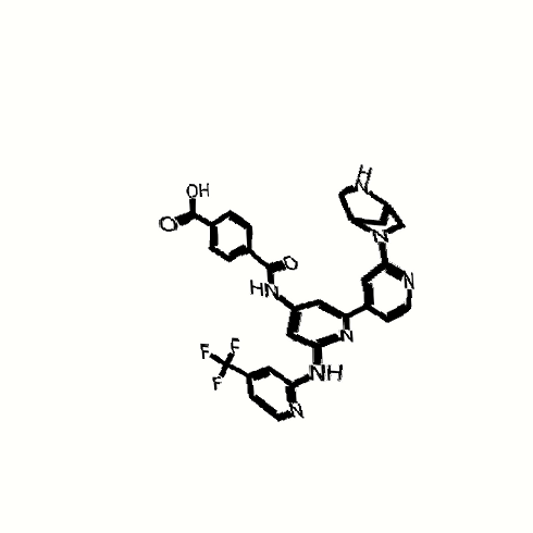 O=C(O)c1ccc(C(=O)Nc2cc(Nc3cc(C(F)(F)F)ccn3)nc(-c3ccnc(N4CC5CC4CN5)c3)c2)cc1